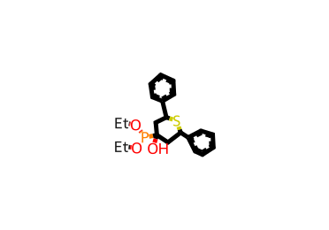 CCOP(OCC)C1(O)CC(c2ccccc2)SC(c2ccccc2)C1